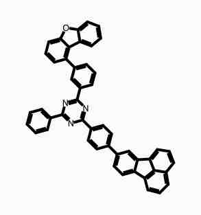 c1ccc(-c2nc(-c3ccc(-c4ccc5c(c4)-c4cccc6cccc-5c46)cc3)nc(-c3cccc(-c4cccc5oc6ccccc6c45)c3)n2)cc1